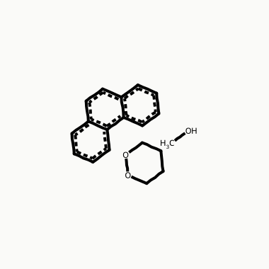 C1CCOOC1.CO.c1ccc2c(c1)ccc1ccccc12